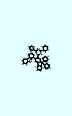 c1ccc(-c2nc(-c3ccccc3)nc(-c3cc4c(cc3-c3cccc5c3oc3ccccc35)-c3ccccc3C4(c3ccccc3)c3ccccc3)n2)cc1